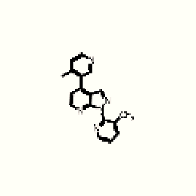 Cc1ccncc1-c1ccnc2c1cnn2-c1ncccc1C(F)(F)F